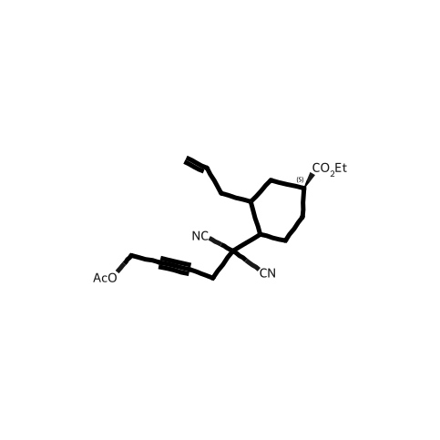 C=CCC1C[C@@H](C(=O)OCC)CCC1C(C#N)(C#N)CC#CCOC(C)=O